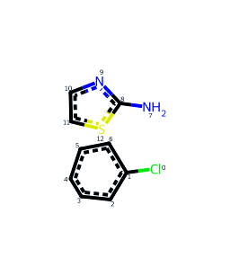 Clc1ccccc1.Nc1nccs1